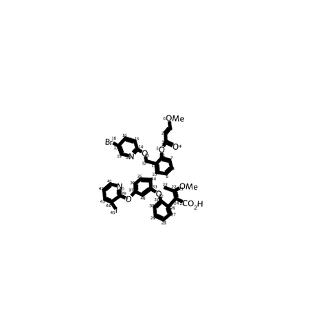 CO/C=C/C(=O)Oc1ccccc1COc1ccc(Br)cn1.COC(C)=C(C(=O)O)c1ccccc1Oc1cccc(Oc2ncccc2I)c1